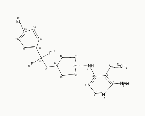 C=Cc1c(NC)ncnc1NC1CCN(CC(F)(F)c2ccc(CC)cc2)CC1